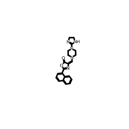 O=C1OC(c2cccc3ccccc23)=N/C1=C/N1CCN(C2=NCCN2)CC1